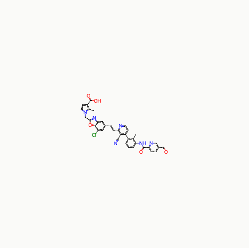 Cc1c(NC(=O)c2ccc(C=O)cn2)cccc1-c1ccnc(C=Cc2cc(Cl)c3oc(Cn4ccc(C(=O)O)c4C)nc3c2)c1C#N